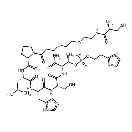 CC(C)C[C@H](NC(=O)[C@@H]1CCCN1C(=O)CCOCCOCCNC(=O)[C@@H](N)CS)C(=O)N[C@@H](Cc1cnc[nH]1)C(=O)N[C@@H](CO)C(=O)N[C@H](C(N)=O)[C@@H](C)OP(=O)(O)OCCc1cccs1